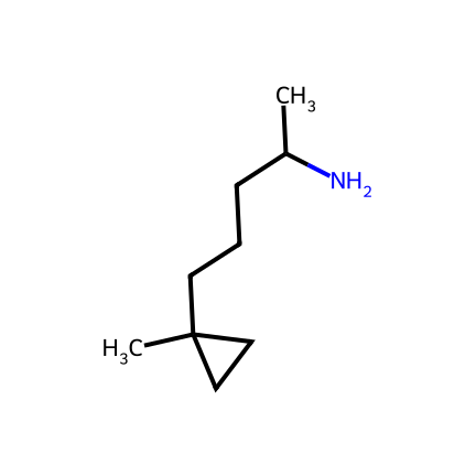 CC(N)CCCC1(C)CC1